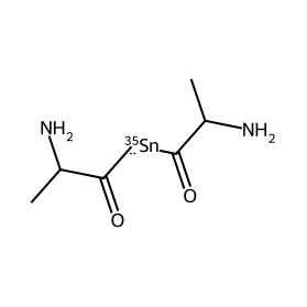 CC(N)[C](=O)[35Sn][C](=O)C(C)N